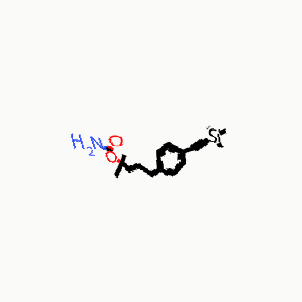 CC(C)(CCCc1ccc(C#C[Si](C)(C)C)cc1)OC(N)=O